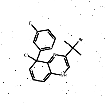 CC(C)(Br)C1=CNC2=CC=CC(Cl)(c3cccc(F)c3)C2=N1